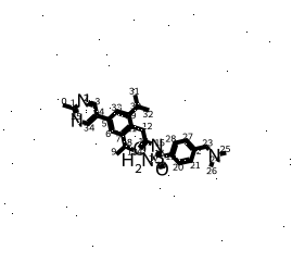 Cc1ncc(-c2cc(C(C)C)c(CC(=O)N=S(N)(=O)c3ccc(CN(C)C)cc3)c(C(C)C)c2)cn1